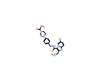 CCc1nc2ccc(Cl)cn2c1C(=O)NCc1ccc(N2CCN(C(C)=O)C=N2)cc1